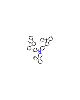 CC1(C)c2ccccc2-c2cccc(-c3ccccc3-c3ccc(N(c4ccc(-c5ccc6c(c5)C(C)(c5ccccc5)c5ccccc5-6)cc4)c4ccc5c(c4)C4(CC6CCC4C6)c4ccccc4-5)cc3)c21